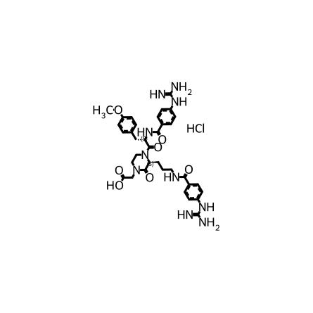 COc1ccc(C[C@H](NC(=O)c2ccc(NC(=N)N)cc2)C(=O)N2CCN(CC(=O)O)C(=O)[C@@H]2CCCNC(=O)c2ccc(NC(=N)N)cc2)cc1.Cl